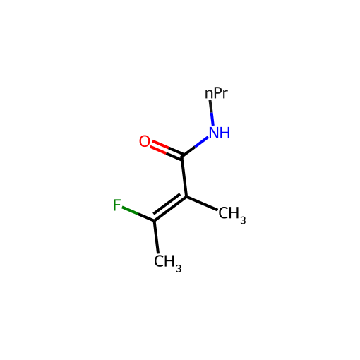 CCCNC(=O)/C(C)=C(/C)F